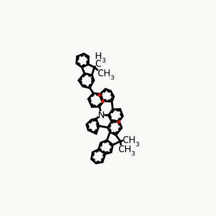 CC1(C)c2ccccc2-c2ccc(-c3ccc(N(c4ccccc4-c4ccccc4)c4ccccc4-c4cccc5c4-c4cc6ccccc6cc4C5(C)C)cc3)cc21